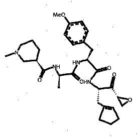 COc1ccc(C[C@H](NC(=O)[C@@H](C)NC(=O)[C@@H]2CCCN(C)C2)C(=O)N[C@@H](CC2=CCCC2)C(=O)[C@H]2CO2)cc1